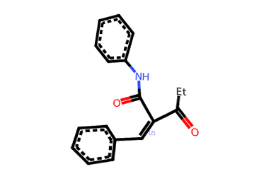 CCC(=O)/C(=C/c1ccccc1)C(=O)Nc1ccccc1